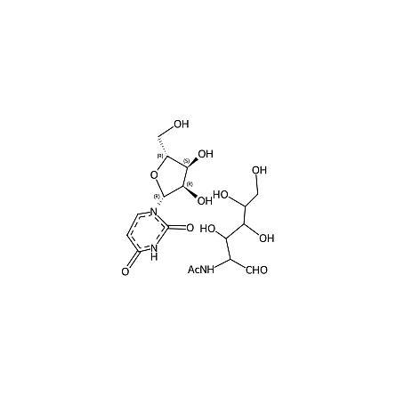 CC(=O)NC(C=O)C(O)C(O)C(O)CO.O=c1ccn([C@@H]2O[C@H](CO)[C@@H](O)[C@H]2O)c(=O)[nH]1